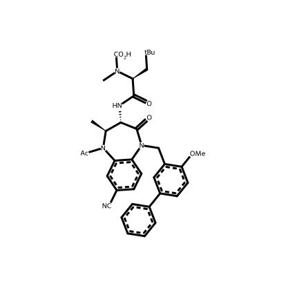 COc1ccc(-c2ccccc2)cc1CN1C(=O)[C@@H](NC(=O)[C@H](CC(C)(C)C)N(C)C(=O)O)[C@H](C)N(C(C)=O)c2cc(C#N)ccc21